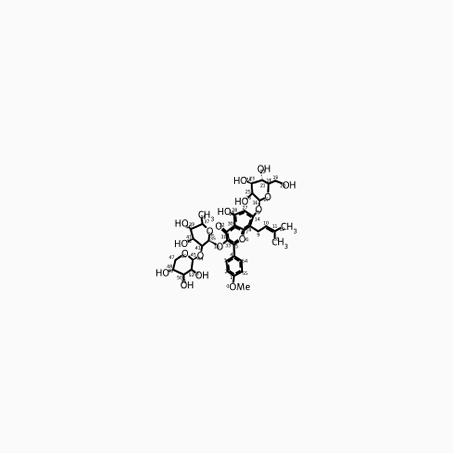 COc1ccc(-c2oc3c(CC=C(C)C)c(O[C@@H]4OC(CO)[C@@H](O)[C@H](O)C4O)cc(O)c3c(=O)c2O[C@@H]2OC(C)[C@H](O)[C@H](O)C2O[C@@H]2OC[C@@H](O)C(O)C2O)cc1